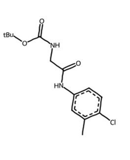 Cc1cc(NC(=O)CNC(=O)OC(C)(C)C)ccc1Cl